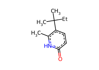 CCC(C)(C)c1ccc(=O)[nH]c1C